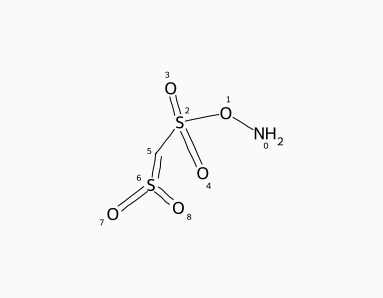 NOS(=O)(=O)C=S(=O)=O